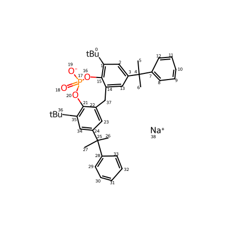 CC(C)(C)c1cc(C(C)(C)c2ccccc2)cc2c1OP(=O)([O-])Oc1c(cc(C(C)(C)c3ccccc3)cc1C(C)(C)C)C2.[Na+]